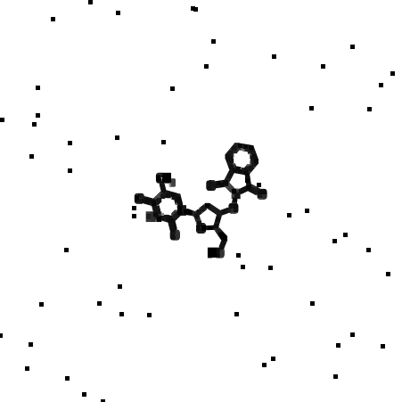 Cc1cn([C@H]2CC(ON3C(=O)c4ccccc4C3=O)[C@@H](CO)O2)c(=O)[nH]c1=O